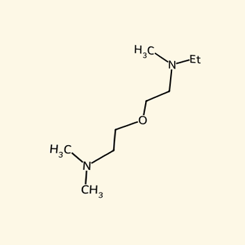 CCN(C)CCOCCN(C)C